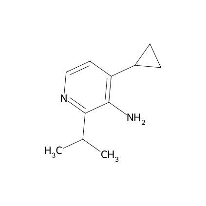 CC(C)c1nccc(C2CC2)c1N